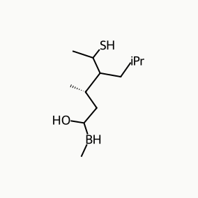 CBC(O)C[C@H](C)C(CC(C)C)C(C)S